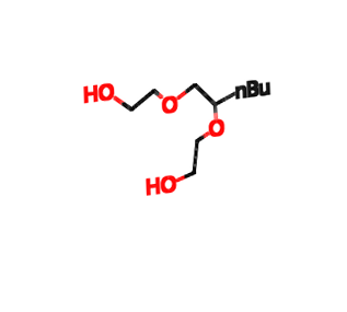 CCCCC(COCCO)OCCO